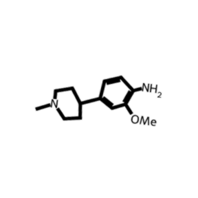 COc1cc(C2CCN(C)CC2)ccc1N